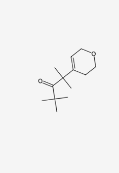 CC(C)(C)C(=O)C(C)(C)C1=CCOCC1